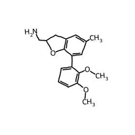 COc1cccc(-c2cc(C)cc3c2OC(CN)C3)c1OC